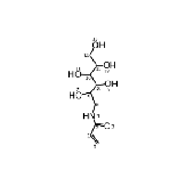 C=CC(=O)NCC(O)C(O)C(O)C(O)CO